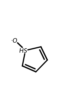 [O][SH]1C=CC=C1